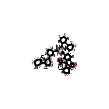 c1ccc(-c2ccccc2-c2nc(-c3cccc(-c4cccc5c4sc4ccccc45)c3)nc(-c3ccc4c(c3)C3(c5ccccc5Oc5ccccc53)c3ccccc3-4)n2)cc1